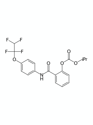 CC(C)OC(=O)Oc1ccccc1C(=O)Nc1ccc(OC(F)(F)C(F)F)cc1